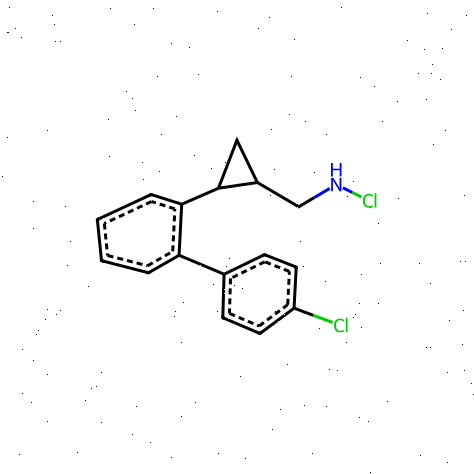 ClNCC1CC1c1ccccc1-c1ccc(Cl)cc1